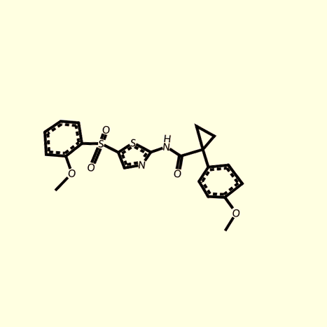 COc1ccc(C2(C(=O)Nc3ncc(S(=O)(=O)c4ccccc4OC)s3)CC2)cc1